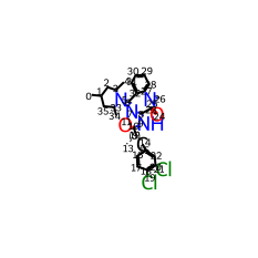 CC1CC(C)N(C2=NC(NC(=O)[C@@H](C)Cc3ccc(Cl)c(Cl)c3)C(=O)N(C)c3ccccc32)C(C)C1